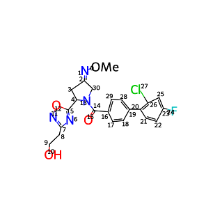 CON=C1CC(c2nc(CCO)no2)N(C(=O)c2ccc(-c3ccc(F)cc3Cl)cc2)C1